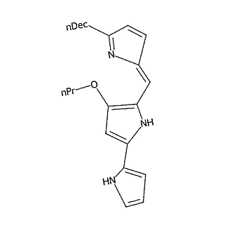 CCCCCCCCCCC1=NC(=Cc2[nH]c(-c3ccc[nH]3)cc2OCCC)C=C1